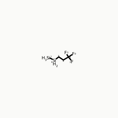 FC(F)(F)CC[SiH2][SiH3]